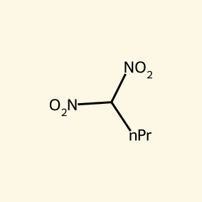 C[CH]CC([N+](=O)[O-])[N+](=O)[O-]